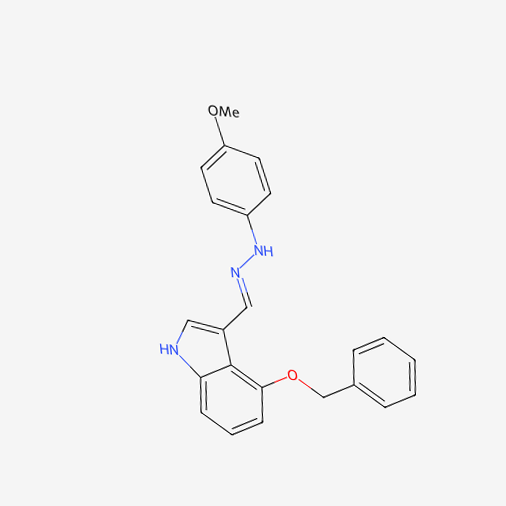 COc1ccc(N/N=C/c2c[nH]c3cccc(OCc4ccccc4)c23)cc1